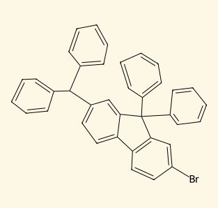 Brc1ccc2c(c1)C(c1ccccc1)(c1ccccc1)c1cc(C(c3ccccc3)c3ccccc3)ccc1-2